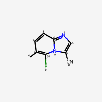 Cc1ccc2n[c]c(C#N)n2c1F